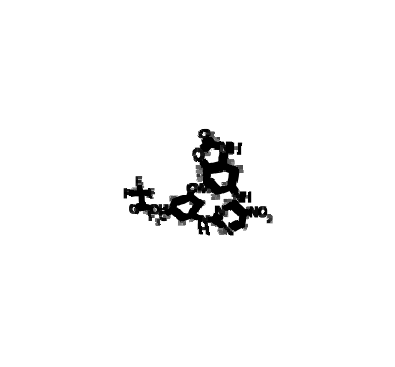 COc1cc(Nc2ncc([N+](=O)[O-])c(Nc3ccc4oc(=O)[nH]c4c3)n2)cc(C(F)(F)F)c1.O=C(O)C(F)(F)F